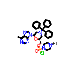 CCN1CCN(P(=O)(Cl)OC[C@@H]2CN(C(c3ccccc3)(c3ccccc3)c3ccccc3)C[C@H](n3cnc4c(C)ncnc43)O2)CC1